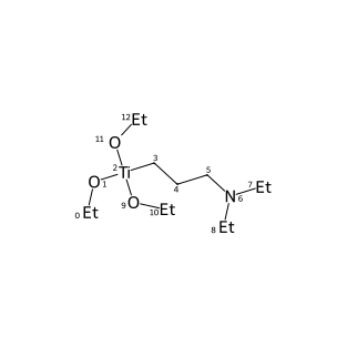 CC[O][Ti]([CH2]CCN(CC)CC)([O]CC)[O]CC